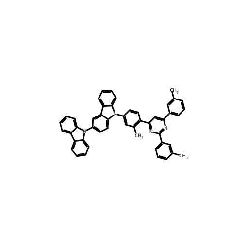 Cc1cccc(-c2cc(-c3ccc(-n4c5ccccc5c5cc(-n6c7ccccc7c7ccccc76)ccc54)cc3C)nc(-c3cccc(C)c3)n2)c1